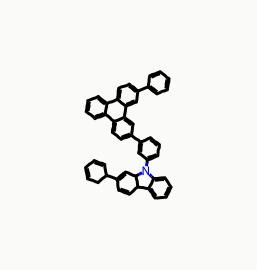 C1=CCC(C2=CC3C(C=C2)c2ccccc2N3c2cccc(-c3ccc4c5ccccc5c5ccc(-c6ccccc6)cc5c4c3)c2)C=C1